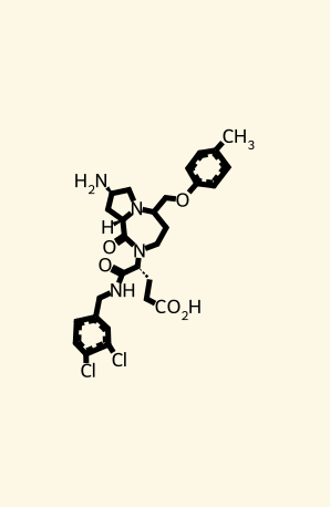 Cc1ccc(OCC2CCN([C@H](CCC(=O)O)C(=O)NCc3ccc(Cl)c(Cl)c3)C(=O)[C@@H]3C[C@@H](N)CN23)cc1